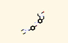 CCC1c2cc(N(C)C(=O)c3ccc(C=NN4CCSCC4)cc3)ccc2CCN1CC(=O)O